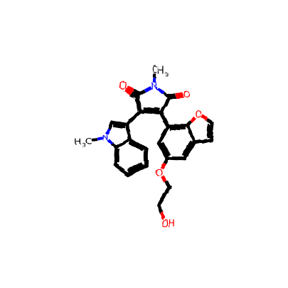 CN1C(=O)C(c2cn(C)c3ccccc23)=C(c2cc(OCCO)cc3ccoc23)C1=O